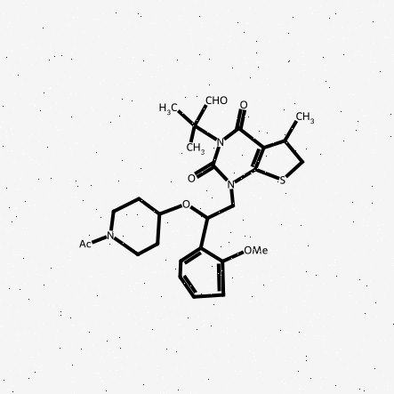 COc1ccccc1C(Cn1c2c(c(=O)n(C(C)(C)C=O)c1=O)C(C)CS2)OC1CCN(C(C)=O)CC1